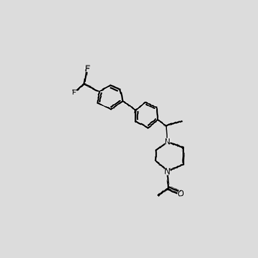 CC(=O)N1CCN(C(C)c2ccc(-c3ccc(C(F)F)cc3)cc2)CC1